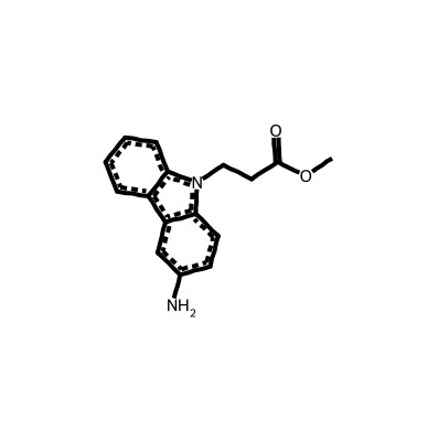 COC(=O)CCn1c2ccccc2c2cc(N)ccc21